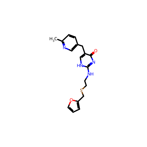 Cc1ccc(Cc2c[nH]c(NCCSCc3ccco3)nc2=O)cn1